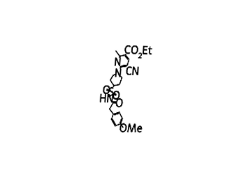 CCOC(=O)c1cc(C#N)c(N2CCC(S(=O)(=O)NC(=O)Cc3ccc(OC)cc3)CC2)nc1C